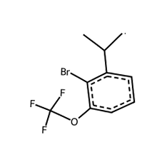 [CH2]C(C)c1cccc(OC(F)(F)F)c1Br